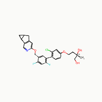 C[C@@](O)(CO)CCOc1ccc(-c2cc(COc3cc4c(cn3)C3CC3C4)c(F)cc2F)c(Cl)c1